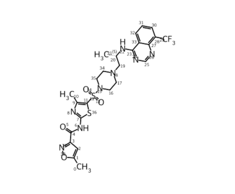 Cc1cc(C(=O)Nc2nc(C)c(S(=O)(=O)N3CCN(C[C@H](C)Nc4ncnc5c(C(F)(F)F)cccc45)CC3)s2)no1